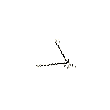 CCCCCCCCCCCCCCCCCCc1n(C(C)C)cc[n+]1CCCCCCCCCCCCCC